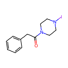 O=C(Cc1ccccc1)N1CCN(I)CC1